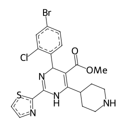 COC(=O)C1=C(C2CCNCC2)NC(c2nccs2)=NC1c1ccc(Br)cc1Cl